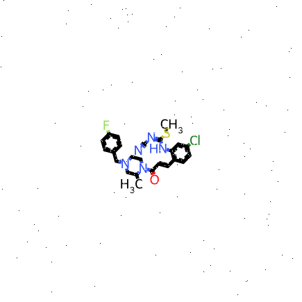 CS/C(=N/C#N)Nc1cc(Cl)ccc1/C=C/C(=O)N1CCN(Cc2ccc(F)cc2)CC1C